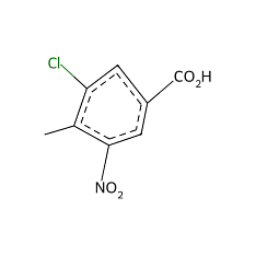 Cc1c(Cl)cc(C(=O)O)cc1[N+](=O)[O-]